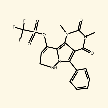 Cn1c(=O)c2c(-c3ccccc3)n3c(c2n(C)c1=O)C(OS(=O)(=O)C(F)(F)F)=CCN3